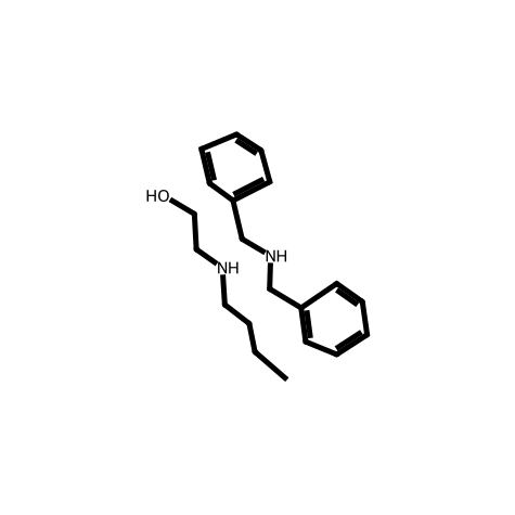 CCCCNCCO.c1ccc(CNCc2ccccc2)cc1